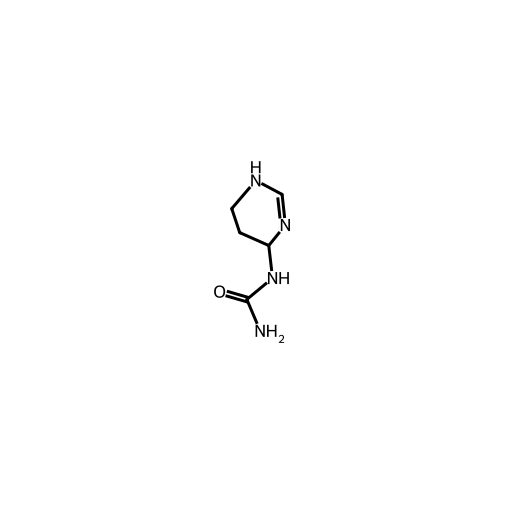 NC(=O)NC1CCNC=N1